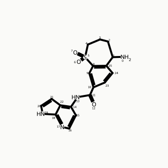 NC1CCCS(=O)(=O)c2cc(C(=O)Nc3ccnc4[nH]ccc34)ccc21